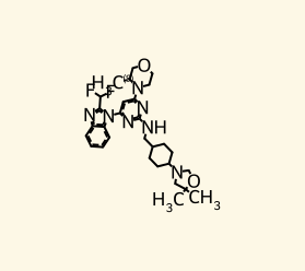 C[C@H]1COCCN1c1cc(-n2c(C(F)F)nc3ccccc32)nc(NCC2CCC(N3COC(C)(C)C3)CC2)n1